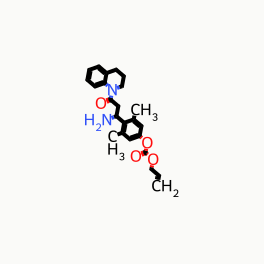 C=CCOC(=O)Oc1cc(C)c(C(N)CC(=O)N2CCCc3ccccc32)c(C)c1